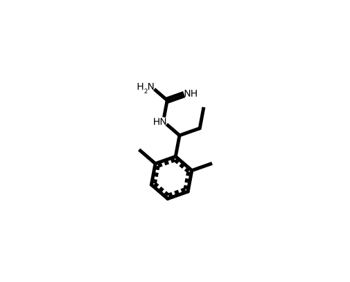 CCC(NC(=N)N)c1c(C)cccc1C